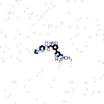 CN(C)Cc1cncc(-c2ccc3[nH]nc(C(=O)Nc4ccc(N5CCC5)nc4)c3c2)c1